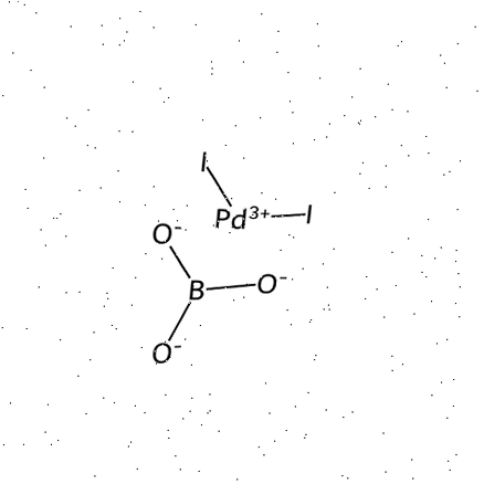 [I][Pd+3][I].[O-]B([O-])[O-]